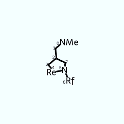 CNCC1[CH2][Re][N]([Rf])C1